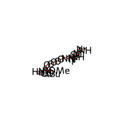 COCC(=O)N[C@H](C(=O)N1Cc2cc(OCCOCCOCCOCCOCCNCc3ccc(-n4cc(NC(=O)c5coc(-c6ccnc(NCC7CC7)c6)n5)c(C(F)F)n4)cc3)ccc2CC1C(=O)N[C@@H]1CCCc2ccccc21)C(C)(C)C